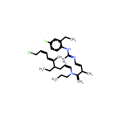 C=C(C(C)/C=C/N=C(\C)Nc1ccc(F)cc1CC)N(/C=C\CC(CC)/C(C)=C/C=C\CCl)CCC